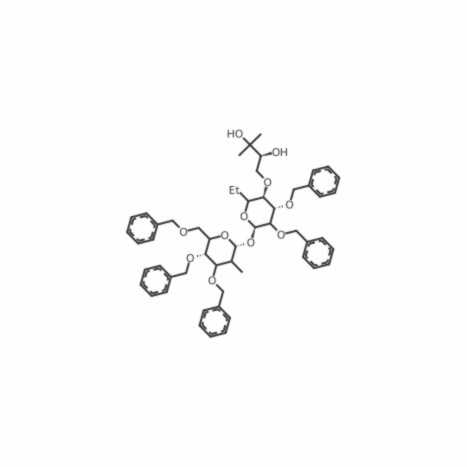 CCC1O[C@H](O[C@H]2OC(COCc3ccccc3)[C@@H](OCc3ccccc3)C(OCc3ccccc3)C2C)C(OCc2ccccc2)[C@@H](OCc2ccccc2)[C@@H]1OC[C@H](O)C(C)(C)O